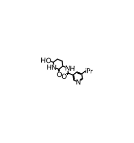 CC(C)c1cncc(C(=O)NC2CCC(O)NC2=O)c1